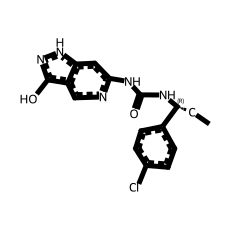 CC[C@@H](NC(=O)Nc1cc2[nH]nc(O)c2cn1)c1ccc(Cl)cc1